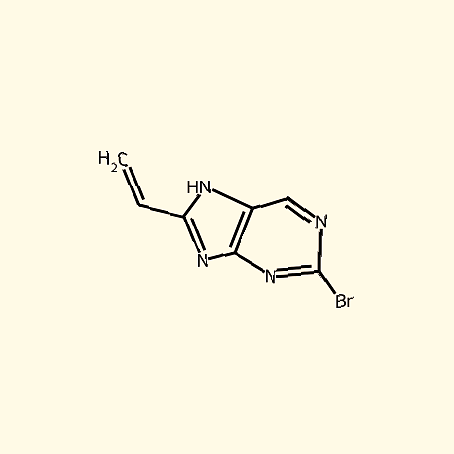 C=Cc1nc2nc(Br)ncc2[nH]1